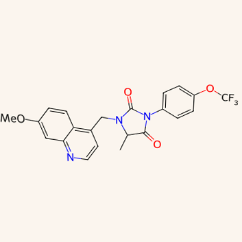 COc1ccc2c(CN3C(=O)N(c4ccc(OC(F)(F)F)cc4)C(=O)C3C)ccnc2c1